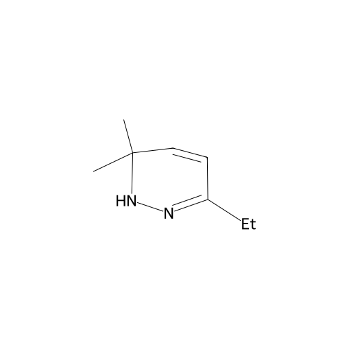 CCC1=NNC(C)(C)C=C1